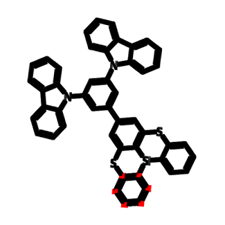 c1ccc([Si]23c4ccccc4Sc4cc(-c5cc(-n6c7ccccc7c7ccccc76)cc(-n6c7ccccc7c7ccccc76)c5)cc(c42)Sc2ccccc23)cc1